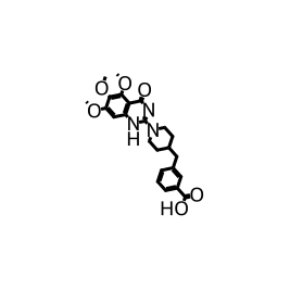 COc1cc2[nH]c(N3CCC(Cc4cccc(C(=O)O)c4)CC3)nc(=O)c2c(OC)c1OC